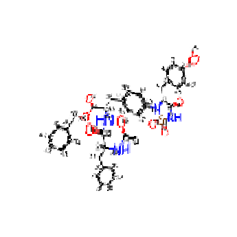 COc1ccc(C[C@H]2C(=O)NS(=O)(=O)N2c2ccc(C[C@H](NC(=O)[C@H](Cc3ccccc3)NC(C)=O)C(=O)OCc3ccccc3)cc2)cc1